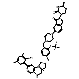 O=C1CCC(N2Cc3ccc(N4CCN(Cc5ccc(O[C@@H]6C[C@@H]7CNc8nnc(-c9cc(F)cc(F)c9O)cc8N7C6)cc5OC(F)(F)F)CC4)cc3C2=O)C(=O)N1